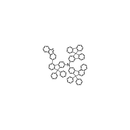 c1ccc(C2(c3ccccc3)c3cc(N(c4ccc5c(c4)-c4c(ccc6ccccc46)C5(c4ccccc4)c4ccccc4)c4ccc5c(c4)-c4ccccc4C54c5ccccc5-c5ccccc54)ccc3-c3c(-c4ccc5sc6ccccc6c5c4)cccc32)cc1